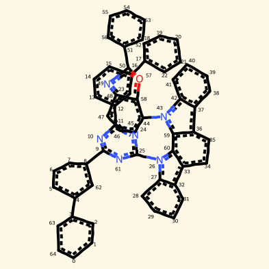 c1ccc(-c2cccc(-c3nc(-c4cccc(-c5ccccc5)c4)nc(-n4c5ccccc5c5ccc6c7ccccc7n(-c7cccc8nc(-c9ccccc9)oc78)c6c54)n3)c2)cc1